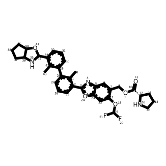 Cc1c(-c2nc3cc(COC(=O)[C@@H]4CCCN4)c(OC(F)F)cc3o2)cccc1-c1cccc(C2NC3CCCC3O2)c1C